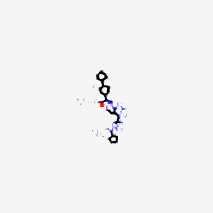 COC(=O)C(Cn1ccc2c(-c3cnn([C@H](CC#N)C4CCCC4)c3)ncnc21)c1ccc(-c2ccccc2)c(F)c1